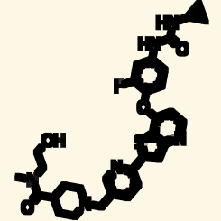 CN(CCO)C(=O)C1CCN(Cc2ccc(-c3cc4nccc(Oc5ccc(NC(=O)NC6CC6)cc5F)c4s3)nc2)CC1